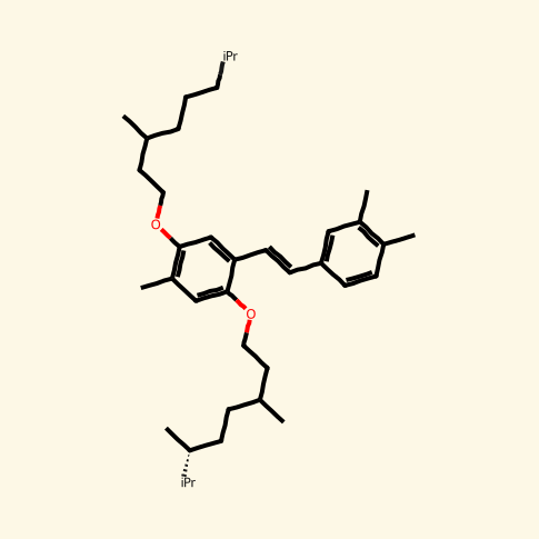 Cc1ccc(/C=C/c2cc(OCCC(C)CCCC(C)C)c(C)cc2OCCC(C)CC[C@@H](C)C(C)C)cc1C